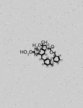 CC1(C)CN(C(=O)OCc2ccccc2)c2cc(Cc3ccc(F)cc3)c3nc(C(=O)O)nn3c21